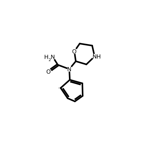 NC(=O)N(c1[c]cccc1)C1CNCCO1